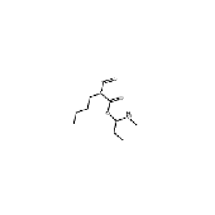 CCCCN([C]=O)C(=O)OC(CC)[SiH2]C